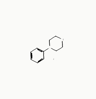 N.c1ccc(N2CCNCC2)cc1